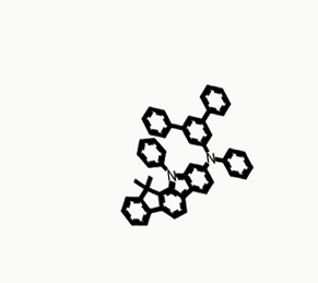 CC1(C)c2ccccc2-c2ccc3c4ccc(N(c5ccccc5)c5cc(-c6ccccc6)cc(-c6ccccc6)c5)cc4n(-c4ccccc4)c3c21